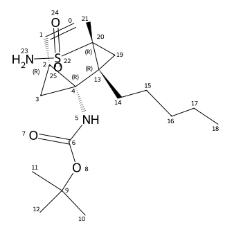 C=C[C@H]1C[C@]1(NC(=O)OC(C)(C)C)[C@@]1(CCCCC)C[C@@]1(C)S(N)(=O)=O